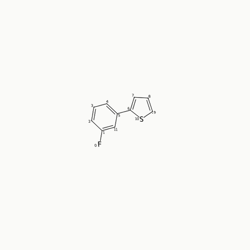 Fc1cccc(-c2cc[c]s2)c1